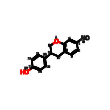 O=Nc1ccc2c(c1)OC[C@H](c1ccc(O)cc1)C2